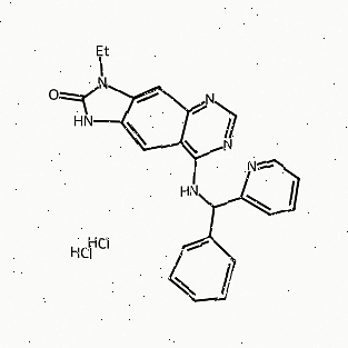 CCn1c(=O)[nH]c2cc3c(NC(c4ccccc4)c4ccccn4)ncnc3cc21.Cl.Cl